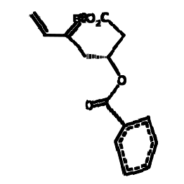 C=CC(=O)C[C@H](CC(=O)OCC)OC(=O)c1ccccc1